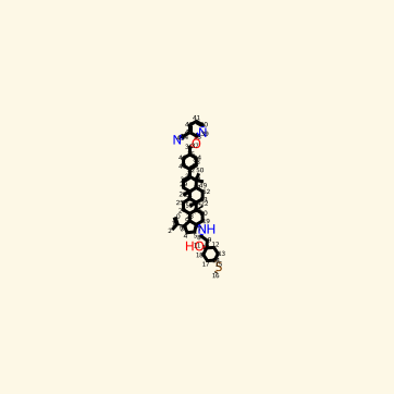 C=C(C)[C@@H]1CCC2(NCCC3(O)CCC(SC)CC3)CC[C@]3(C)C(CCC4C5(C)CC=C(C6=CCC(COc7ncccc7C#N)CC6)C(C)(C)C5CCC43C)C12